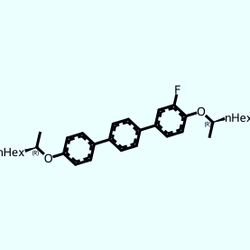 CCCCCC[C@@H](C)Oc1ccc(-c2ccc(-c3ccc(O[C@H](C)CCCCCC)c(F)c3)cc2)cc1